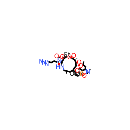 C=CC[C@@]1(OC)C[C@@H](C)CN[C@H](C)[C@H]2N(CCCCN=[N+]=[N-])C(=O)O[C@]2(C)[C@@H](CC)OC(=O)[C@H](C)C(=O)[C@H](C)[C@H]1O[C@@H]1OC(C)CC(N(C)C)C1P=O